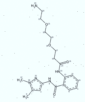 Cc1cc(NC(=O)c2ccccc2NC(=O)CCOCCOCCN)nn1C